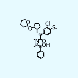 CSc1ccc([C@@H](CC2CCCC2OC2CCCCO2)C(=O)N(C)[C@H](C)[C@H](O)c2ccccc2)cc1Cl